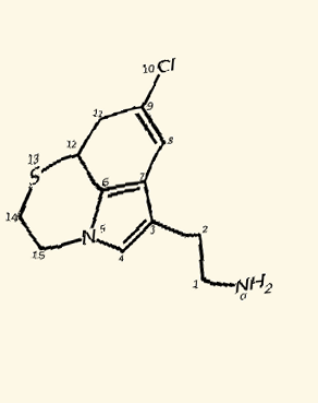 NCCc1cn2c3c1C=C(Cl)CC3SCC2